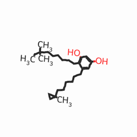 CCC(C)(C)CCCCCCc1c(O)cc(O)cc1CCCCCCC1(C)CC1